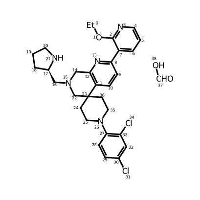 CCOc1ncccc1-c1ccc2c(n1)CN(C[C@H]1CCCN1)CC21CCN(c2ccc(Cl)cc2Cl)CC1.O=CO